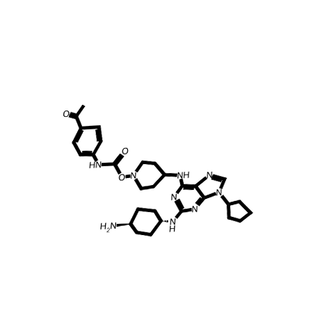 CC(=O)c1ccc(NC(=O)ON2CCC(Nc3nc(N[C@H]4CC[C@H](N)CC4)nc4c3ncn4C3CCCC3)CC2)cc1